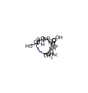 CC(=O)CC[C@H]1C(=O)N[C@@H](C(C)C)C(=O)N[C@@H](Cc2cccc(O)c2)C(=O)N2CCCC(N2)C(=O)O[C@H](/C(C)=C/CO)C/C=C/C=C/C[C@H](C)[C@H]1O